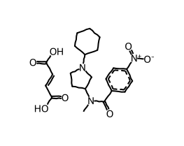 CN(C(=O)c1ccc([N+](=O)[O-])cc1)C1CCN(C2CCCCC2)C1.O=C(O)/C=C/C(=O)O